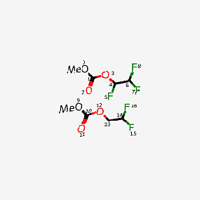 COC(=O)OC(F)C(F)F.COC(=O)OCC(F)F